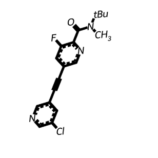 CN(C(=O)c1ncc(C#Cc2cncc(Cl)c2)cc1F)C(C)(C)C